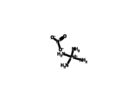 O=[N+]([O-])[O-].[NH2][Pt-2]([NH2])([NH2])[NH2]